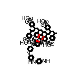 CNc1ccc(Nc2ccc(N=C3C=CC(=Nc4ccc(Nc5ccc(C(CC(CC(C)c6ccc(S(=O)(=O)O)cc6)c6ccc(S(=O)(=O)O)cc6)CC(CC(CC(CC(C)c6ccc(S(=O)(=O)O)cc6)c6ccc(S(=O)(=O)O)cc6)c6ccc(S(=O)(=O)O)cc6)c6ccc(S(=O)(=O)O)cc6)cc5)cc4)C=C3)cc2)cc1